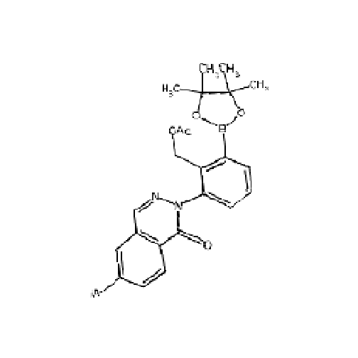 CC(=O)OCc1c(B2OC(C)(C)C(C)(C)O2)cccc1-n1ncc2cc(C(C)C)ccc2c1=O